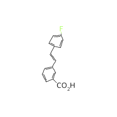 O=C(O)c1cccc(/C=C/c2ccc(F)cc2)c1